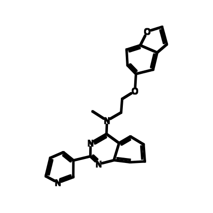 CN(CCOc1ccc2occc2c1)c1nc(-c2cccnc2)nc2ccccc12